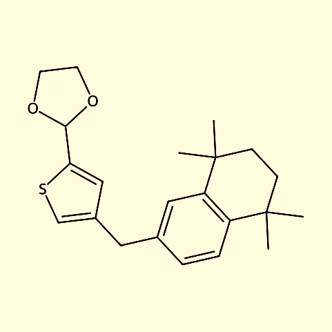 CC1(C)CCC(C)(C)c2cc(Cc3csc(C4OCCO4)c3)ccc21